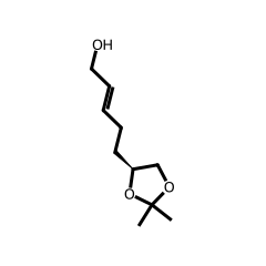 CC1(C)OC[C@H](CC/C=C/CO)O1